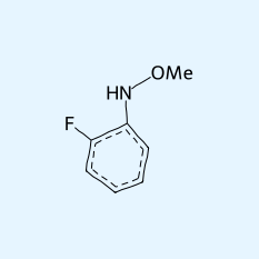 CONc1ccccc1F